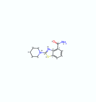 NC(=O)c1[c]ccc2sc(N3CCCCC3)nc12